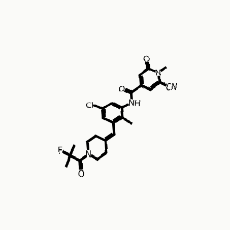 Cc1c(C=C2CCN(C(=O)C(C)(C)F)CC2)cc(Cl)cc1NC(=O)c1cc(C#N)n(C)c(=O)c1